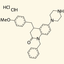 COc1ccc(CC2CC(=O)N(Cc3ccccc3)c3ccc(N4CCNCC4)cc32)cc1.Cl.Cl